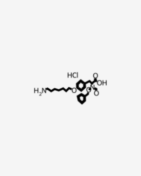 Cl.NCCCCCCCOc1ccc(CC(C(=O)O)N(C=O)OCc2ccccc2)cc1